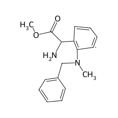 COC(=O)C(N)c1ccc[c]c1N(C)Cc1ccccc1